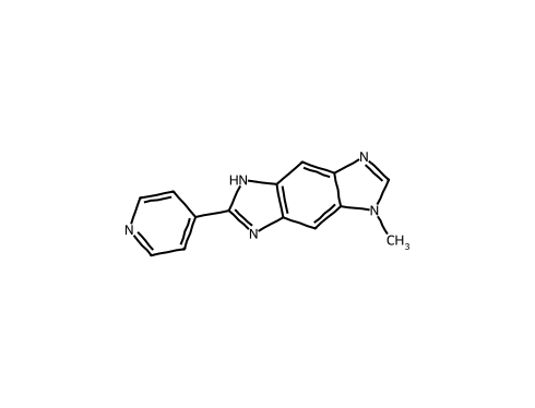 Cn1cnc2cc3[nH]c(-c4ccncc4)nc3cc21